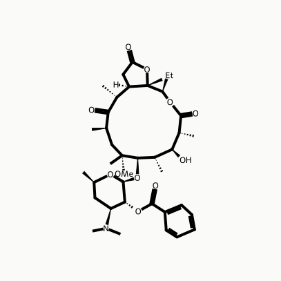 CC[C@H]1OC(=O)[C@H](C)[C@@H](O)[C@H](C)[C@@H](O[C@@H]2O[C@H](C)C[C@H](N(C)C)[C@H]2OC(=O)c2ccccc2)[C@](C)(OC)C[C@@H](C)C(=O)[C@H](C)[C@H]2CC(=O)O[C@@]21C